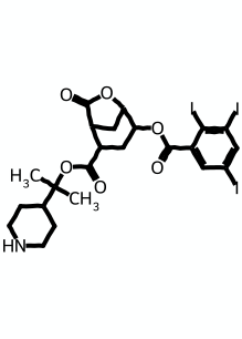 CC(C)(OC(=O)C1CC(OC(=O)c2cc(I)cc(I)c2I)C2CC1C(=O)O2)C1CCNCC1